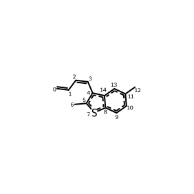 C=C/C=C\c1c(C)sc2ccc(C)cc12